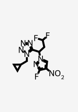 O=[N+]([O-])c1cn(C(CC(F)F)c2nnnn2CC2CC2)nc1F